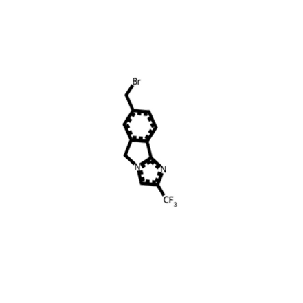 FC(F)(F)c1cn2c(n1)-c1ccc(CBr)cc1C2